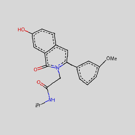 COc1cccc(-c2cc3ccc(O)cc3c(=O)n2CC(=O)NC(C)C)c1